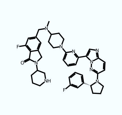 CN(Cc1cc(F)c2c(c1)CN(C1CCCNC1)C2=O)C1CCN(c2cccc(-c3cnc4ccc(N5CCC[C@@H]5c5cccc(F)c5)nn34)n2)CC1